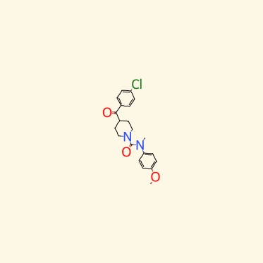 COc1ccc(N(C)C(=O)N2CCC(C(=O)c3ccc(Cl)cc3)CC2)cc1